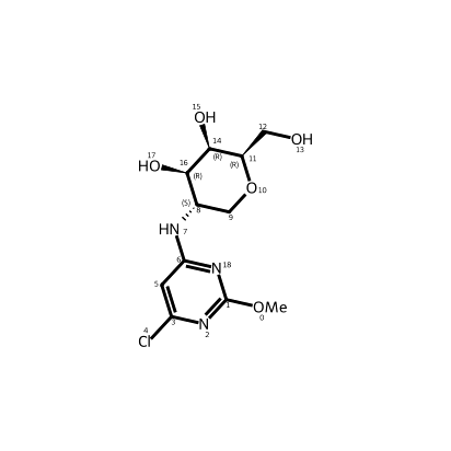 COc1nc(Cl)cc(N[C@H]2CO[C@H](CO)[C@H](O)[C@@H]2O)n1